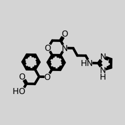 O=C(O)CC(Oc1ccc2c(c1)OCC(=O)N2CCCNc1ncc[nH]1)c1ccccc1